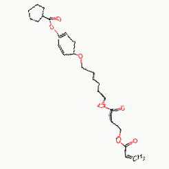 C=CC(=O)OCCC(=O)OCCCCCCOC1C=CC(OC(=O)C2CCCCC2)=CC1